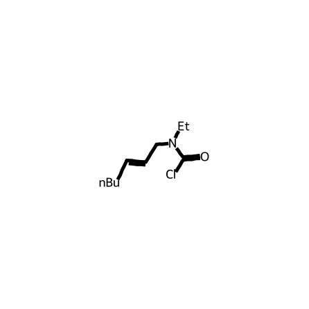 CCCCC=CCN(CC)C(=O)Cl